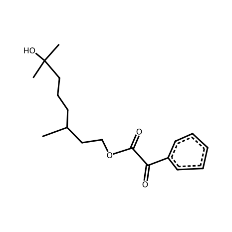 CC(CCCC(C)(C)O)CCOC(=O)C(=O)c1ccccc1